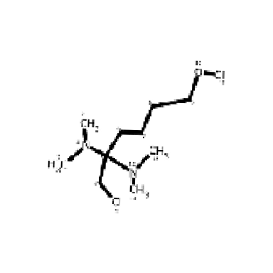 CN(C)C(CCl)(CCCCOCl)N(C)C